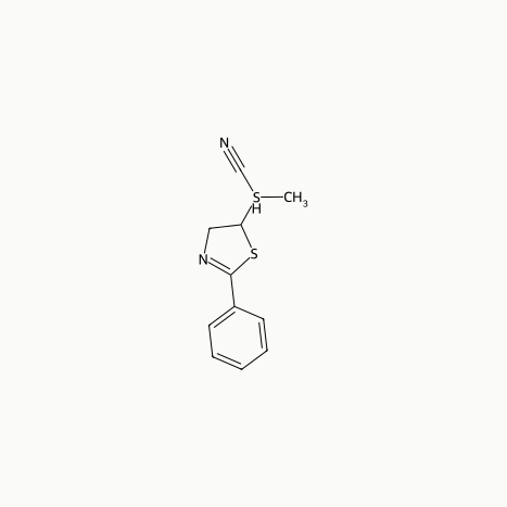 C[SH](C#N)C1CN=C(c2ccccc2)S1